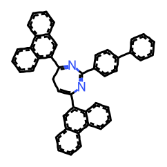 C1=C(c2cc3ccccc3c3ccccc23)N=C(c2ccc(-c3ccccc3)cc2)N=C(c2cc3ccccc3c3ccccc23)C1